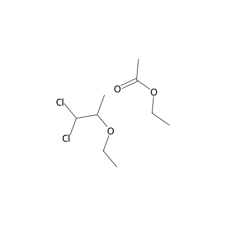 CCOC(C)=O.CCOC(C)C(Cl)Cl